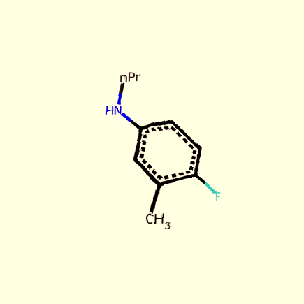 CCCNc1ccc(F)c(C)c1